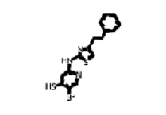 Sc1cc(Nc2nc(CCc3ccccc3)cs2)ncc1Br